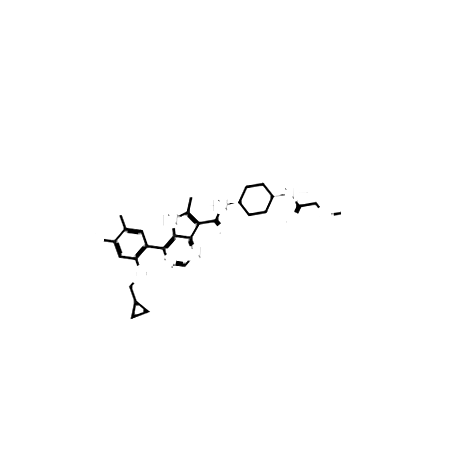 COCC(=O)N[C@H]1CC[C@@H](NC(=O)c2c(C)[nH]c3c(-c4cc(C)c(F)cc4OCC4CC4)ncnc23)CC1